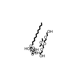 CCCCCCCCCCCCOP(=O)(O)OP(=O)(O)O.CCOCC.OCCOCCOCCOCCO